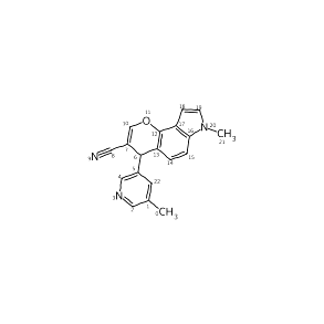 Cc1cncc(C2C(C#N)=COc3c2ccc2c3ccn2C)c1